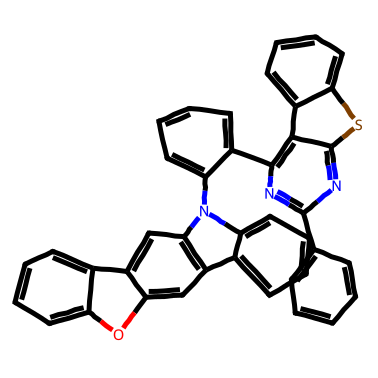 c1ccc(-c2nc(-c3ccccc3-n3c4ccccc4c4cc5oc6ccccc6c5cc43)c3c(n2)sc2ccccc23)cc1